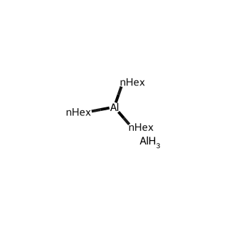 CCCCC[CH2][Al]([CH2]CCCCC)[CH2]CCCCC.[AlH3]